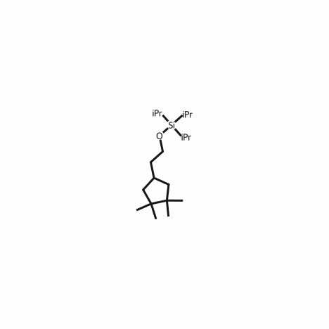 CC(C)[Si](OCCC1CC(C)(C)C(C)(C)C1)(C(C)C)C(C)C